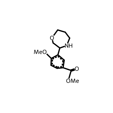 COC(=O)c1ccc(OC)c(C2COCCCN2)c1